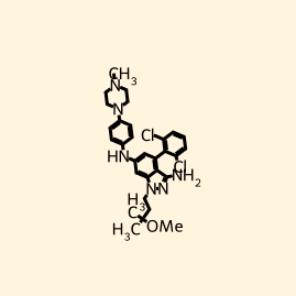 COC(C)(C)CCn1nc(N)c2c(-c3c(Cl)cccc3Cl)cc(Nc3ccc(N4CCN(C)CC4)cc3)cc21